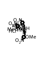 COc1cc([N+](=O)[O-])ccc1C=NN=C(NN=Cc1ccc([N+](=O)[O-])cc1OC)NN=Cc1ccc([N+](=O)[O-])cc1OC.Cl